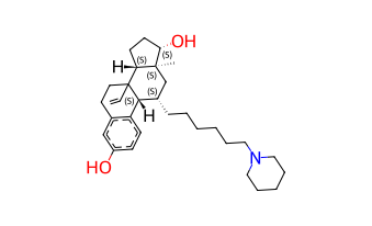 C=CC12CCc3cc(O)ccc3[C@H]1[C@@H](CCCCCCN1CCCCC1)C[C@]1(C)[C@@H](O)CC[C@@H]21